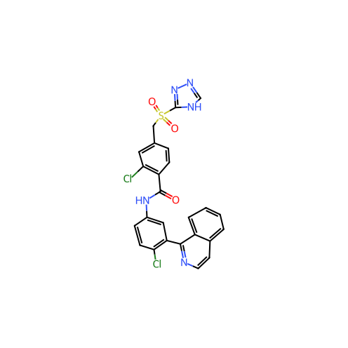 O=C(Nc1ccc(Cl)c(-c2nccc3ccccc23)c1)c1ccc(CS(=O)(=O)c2nnc[nH]2)cc1Cl